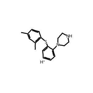 Cc1ccc(Sc2ccccc2N2CCNCC2)c(C)c1.[H+]